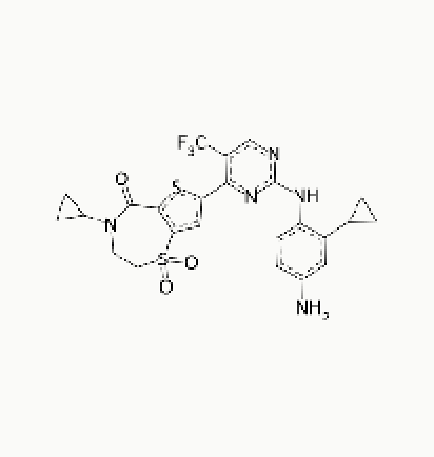 Nc1ccc(Nc2ncc(C(F)(F)F)c(-c3cc4c(s3)C(=O)N(C3CC3)CCS4(=O)=O)n2)c(C2CC2)c1